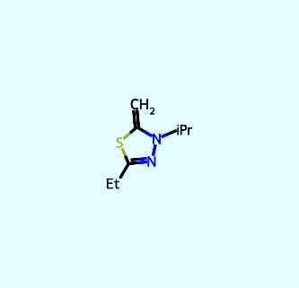 C=C1SC(CC)=NN1C(C)C